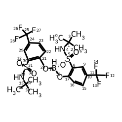 CC(C)(C)NS(=O)(=O)c1cc(C(F)(F)F)ccc1OBOc1ccc(C(F)(F)F)cc1S(=O)(=O)NC(C)(C)C